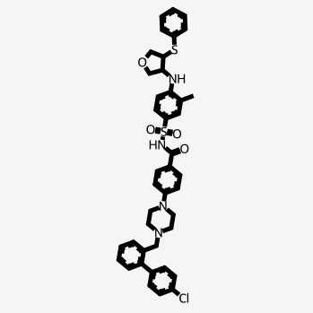 Cc1cc(S(=O)(=O)NC(=O)c2ccc(N3CCN(Cc4ccccc4-c4ccc(Cl)cc4)CC3)cc2)ccc1NC1COCC1Sc1ccccc1